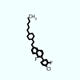 CCCCCCC1CCC(CCc2ccc3c(F)c(-c4ccc(Cl)c(F)c4)ccc3c2)CC1